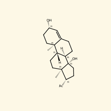 CC(=O)[C@H]1CC[C@]2(O)[C@@H]3CCC4=C[C@@H](O)CC[C@]4(C)[C@H]3CC[C@]12C